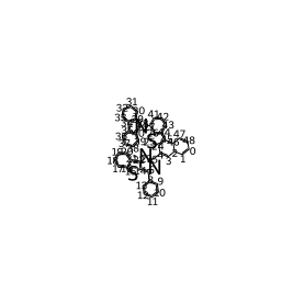 C1=CC2C=C(c3nc(-c4ccccc4)c4sc5ccccc5c4n3)c3sc4c(-n5c6ccccc6c6ccccc65)cccc4c3C2C=C1